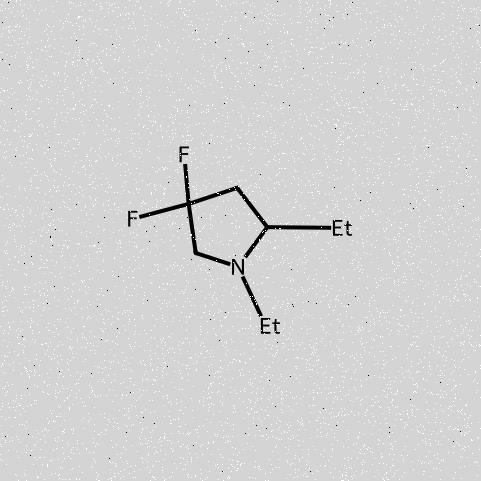 CCC1CC(F)(F)CN1CC